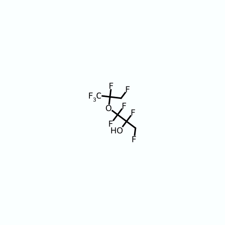 OC(F)(CF)C(F)(F)OC(F)(CF)C(F)(F)F